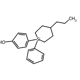 CCCC1CC[Si](c2ccccc2)(c2ccc(O)cc2)CC1